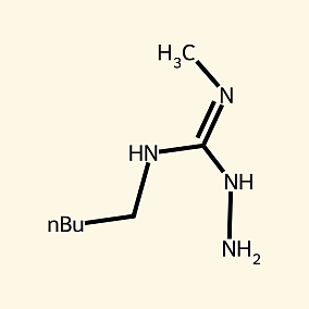 CCCCCN/C(=N\C)NN